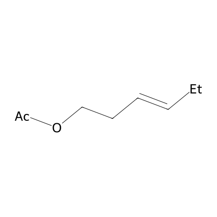 CCC=CCCOC(C)=O